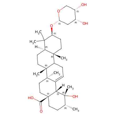 C[C@@H]1CC[C@]2(C(=O)O)CC[C@]3(C)C(=CCC4[C@@]5(C)CC[C@H](O[C@H]6C[C@@H](O)[C@@H](O)CO6)C(C)(C)[C@@H]5CC[C@]43C)[C@@H]2[C@]1(C)O